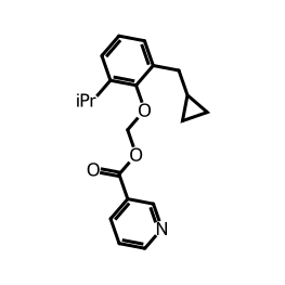 CC(C)c1cccc(CC2CC2)c1OCOC(=O)c1cccnc1